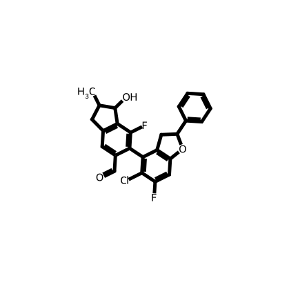 CC1Cc2cc(C=O)c(-c3c(Cl)c(F)cc4c3CC(c3ccccc3)O4)c(F)c2C1O